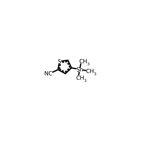 [CH3][Sn]([CH3])([CH3])[c]1csc(C#N)c1